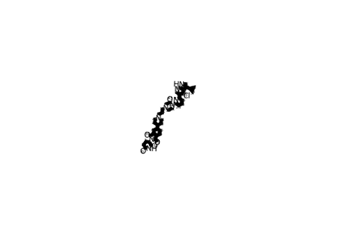 O=C1CCC(N2C(=O)c3ccc(C4CCN(CCCN5CCN(c6cccc(-c7cnc8[nH]cc(C9CC9)c8c7Cl)n6)C(=O)C5)CC4)cc3C2=O)C(=O)N1